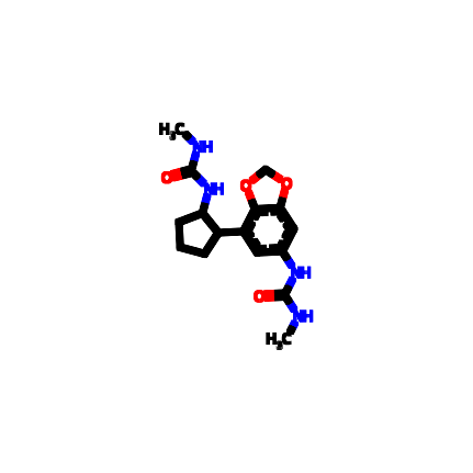 CNC(=O)Nc1cc2c(c(C3CCCC3NC(=O)NC)c1)OCO2